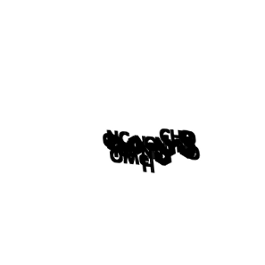 CO[C@H]1COCCC1Oc1cc(NC(=O)N2CCCc3cc(CN4CCOCC4=O)c(C=O)nc32)ncc1C#N